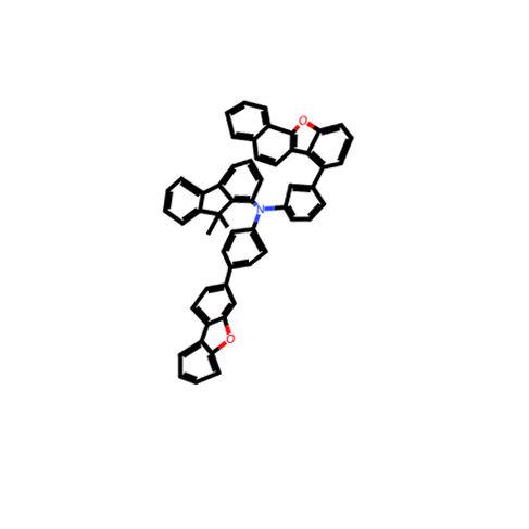 CC1(C)c2ccccc2-c2cccc(N(c3ccc(-c4ccc5c(c4)oc4ccccc45)cc3)c3cccc(-c4cccc5oc6c7ccccc7ccc6c45)c3)c21